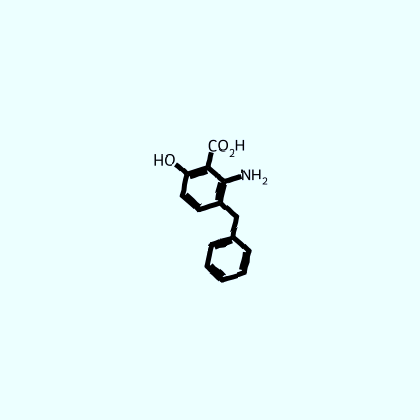 Nc1c(Cc2ccccc2)ccc(O)c1C(=O)O